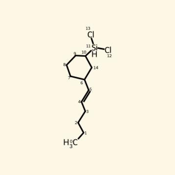 CCCCC=CC1CCCC([SiH](Cl)Cl)C1